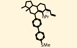 C=C/C=C1/CCC2C(=C1CCC)C(c1ccc(-c3ccc(SC)cc3)cc1)CC1(C)C(C)CCC21